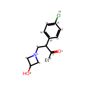 CCC(=O)C(CN1CC(O)C1)c1ccc(Cl)cc1